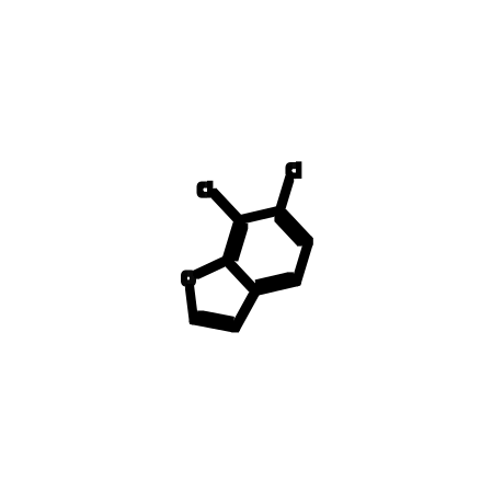 Clc1ccc2ccoc2c1Cl